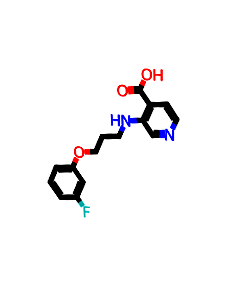 O=C(O)c1ccncc1NCCCOc1cccc(F)c1